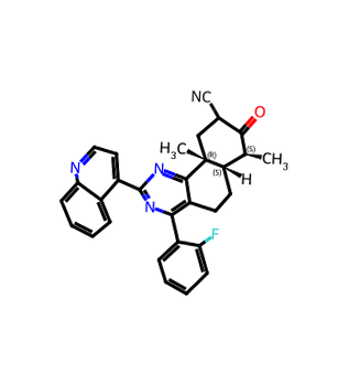 C[C@@H]1C(=O)C(C#N)C[C@@]2(C)c3nc(-c4ccnc5ccccc45)nc(-c4ccccc4F)c3CC[C@@H]12